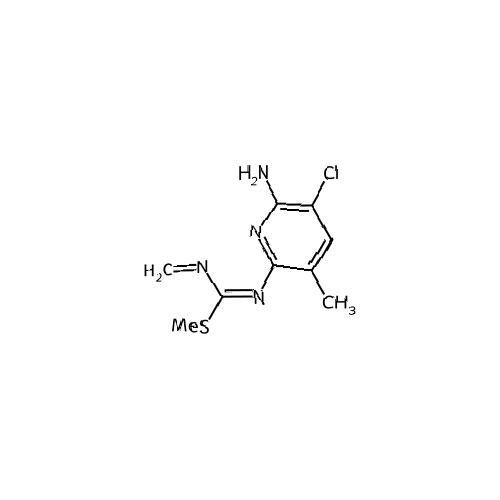 C=N/C(=N\c1nc(N)c(Cl)cc1C)SC